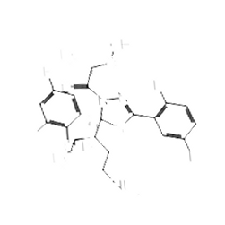 CC[C@H](CCN)[C@]1(c2cc(F)cc(F)c2C)SC(c2cc(F)ccc2F)=NN1C(=O)[C@H](C)OC